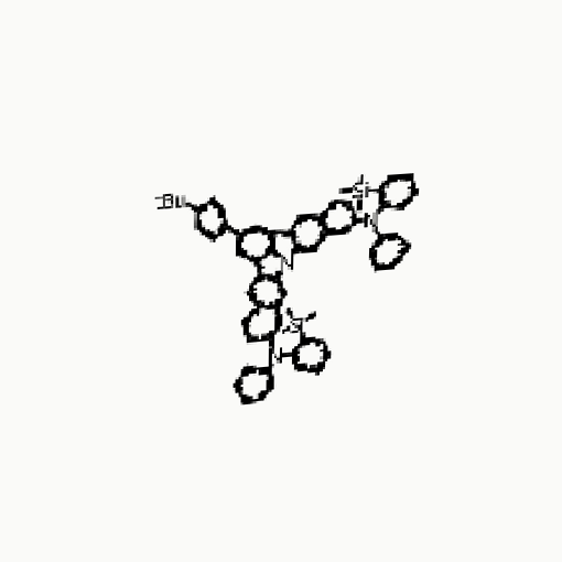 CC(C)(C)c1ccc(-c2cc3c4cc5ccc(N(c6ccccc6)c6ccccc6[Si](C)(C)C)cc5cc4n4c5cc6cc(N(c7ccccc7)c7ccccc7[Si](C)(C)C)ccc6cc5c(c2)c34)cc1